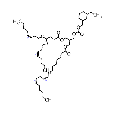 CCCC/C=C\CCOC(CCC(=O)OCC(COC(=O)CCCCCCC/C=C\C/C=C\CCCCC)COC(=O)OCC1CCCN(CC)C1)OCC/C=C\CCCC